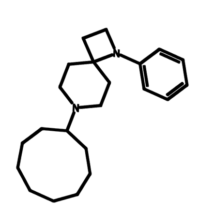 c1ccc(N2CCC23CCN(C2CCCCCCCC2)CC3)cc1